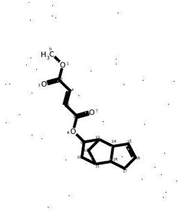 COC(=O)C=CC(=O)OC1CC2CC1C1C=CCC21